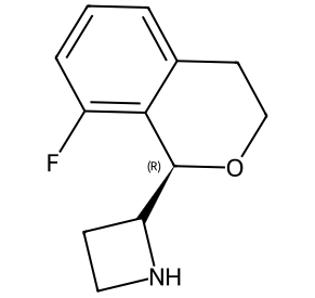 Fc1cccc2c1[C@H](C1CCN1)OCC2